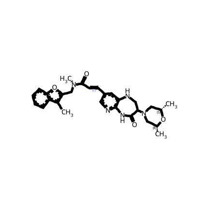 Cc1c(CN(C)C(=O)/C=C/c2cnc3c(c2)NCC(N2C[C@@H](C)O[C@@H](C)C2)C(=O)N3)oc2ccccc12